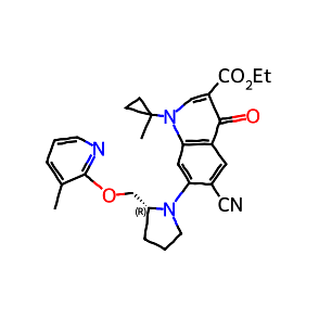 CCOC(=O)c1cn(C2(C)CC2)c2cc(N3CCC[C@@H]3COc3ncccc3C)c(C#N)cc2c1=O